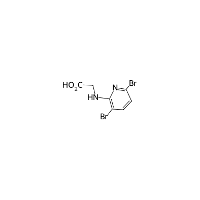 O=C(O)CNc1nc(Br)ccc1Br